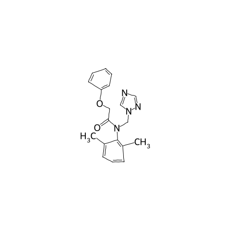 Cc1cccc(C)c1N(Cn1cncn1)C(=O)COc1ccccc1